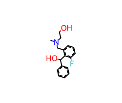 CN(CCO)Cc1cccc(F)c1C(O)c1ccccc1